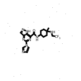 CC1(NCC(F)(F)F)CCC(NC(=O)c2nc(-n3ccnc3)nc3cn[nH]c23)CC1